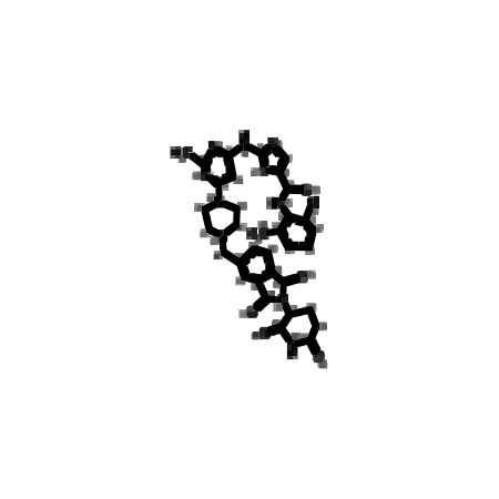 Cc1nc(Nc2ncc(C(=O)Nc3c(C)cccc3Cl)s2)cc(N2CCN(Cc3ccc4c(c3)C(=O)N(C3CCC(=O)NC3=O)C4=O)CC2)n1